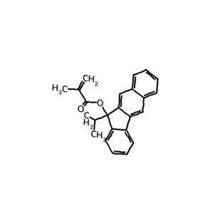 C=C(C)C(=O)OC1(C(C)C)c2ccccc2-c2cc3ccccc3cc21